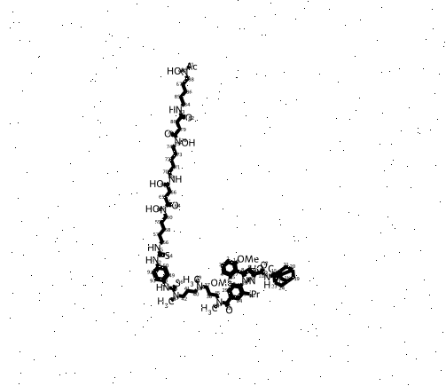 COc1cccc(OC)c1-c1cc(C(=O)NC2(C(=O)O)C3CC4CC(C3)CC2C4)nn1-c1ccc(C(=O)N(C)CCCN(C)CCCN(C)C(=S)Nc2ccc(NC(=S)NCCCCCN(O)C(=O)CCC(O)NCCCCCN(O)C(=O)CCC(=O)NCCCCCN(O)C(C)=O)cc2)cc1C(C)C